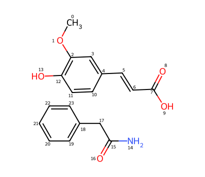 COc1cc(C=CC(=O)O)ccc1O.NC(=O)Cc1ccccc1